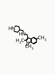 Cc1ccc2c(c1)c(CNCC1CCNCC1)c(C)n2C